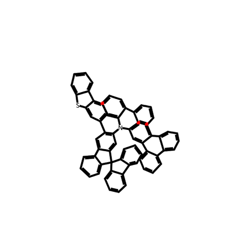 c1ccc(-c2ccccc2N(c2ccc3c4ccccc4c4ccccc4c3c2)c2cc3c(cc2-c2ccc4c(c2)sc2ccccc24)-c2ccccc2C32c3ccccc3-c3ccccc32)cc1